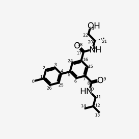 Cc1ccc(-c2cc(C(=O)NCC(C)C)cc(C(=O)N[C@@H](C)CO)c2)cc1